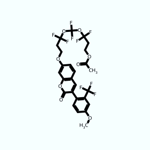 COc1ccc(-c2cc3ccc(OCCC(F)(F)OC(F)(F)OC(F)(F)CCOC(C)=O)cc3oc2=O)c(C(F)(F)F)c1